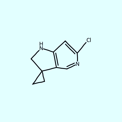 Clc1cc2c(cn1)C1(CC1)CN2